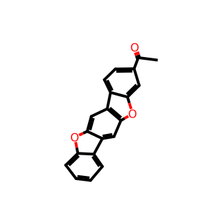 CC(=O)c1ccc2c(c1)oc1cc3c(cc12)oc1ccccc13